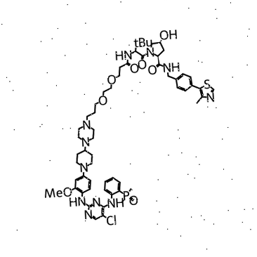 COc1cc(N2CCC(N3CCN(CCCOCCOCCC(=O)NC(C(=O)N4C[C@H](O)C[C@H]4C(=O)NCc4ccc(-c5scnc5C)cc4)C(C)(C)C)CC3)CC2)ccc1Nc1ncc(Cl)c(Nc2ccccc2P(C)(C)=O)n1